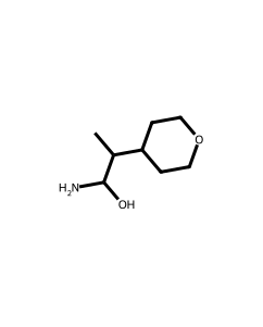 CC(C(N)O)C1CCOCC1